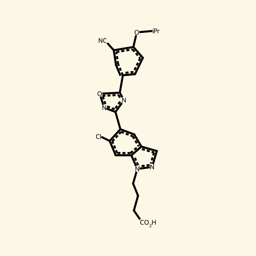 CC(C)Oc1ccc(-c2nc(-c3cc4cnn(CCCC(=O)O)c4cc3Cl)no2)cc1C#N